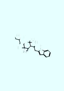 N[C@@]1(Br)[C@H](C(O)C(O)CO)OC(O)(C(=O)O)C(C(=O)Cc2cc3ccccc3[nH]2)[C@@]1(O)Cl